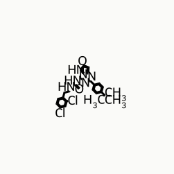 CC(C)(C)c1ccc(-c2nc(NC(=O)NCCc3ccc(Cl)cc3Cl)n3[nH]c(=O)cc3n2)cc1